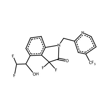 O=C1N(Cc2cc(C(F)(F)F)ccn2)c2cccc(C(O)C(F)F)c2C1(F)F